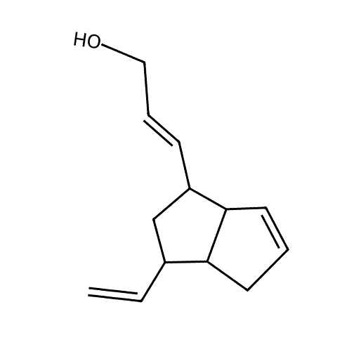 C=CC1CC(/C=C/CO)C2C=CCC12